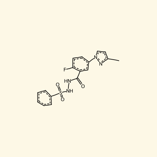 Cc1ccn(-c2ccc(F)c(C(=O)NNS(=O)(=O)c3ccccc3)c2)n1